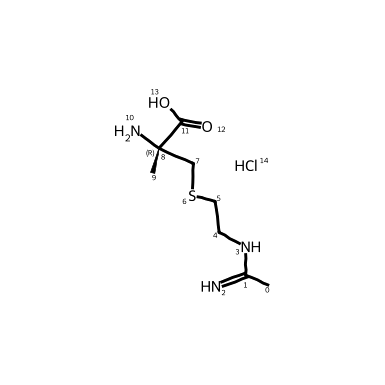 CC(=N)NCCSC[C@](C)(N)C(=O)O.Cl